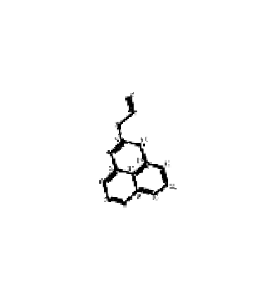 C=CCC1=Cc2cccc3cccc(c23)[CH]1